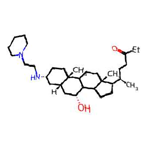 CCC(=O)CC[C@@H](C)[C@H]1CCC2C3C(CC[C@@]21C)[C@@]1(C)CC[C@@H](NCCN2CCCCC2)C[C@H]1C[C@H]3O